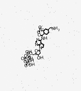 NCc1ccc(C(=O)Nc2ncnc3c2ccn3[C@H]2CC(O)[C@@H](COP(=O)(O)OP(=O)(O)OP(=O)(O)O)O2)c([N+](=O)[O-])c1